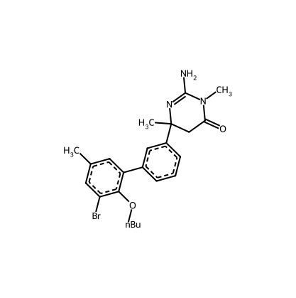 CCCCOc1c(Br)cc(C)cc1-c1cccc(C2(C)CC(=O)N(C)C(N)=N2)c1